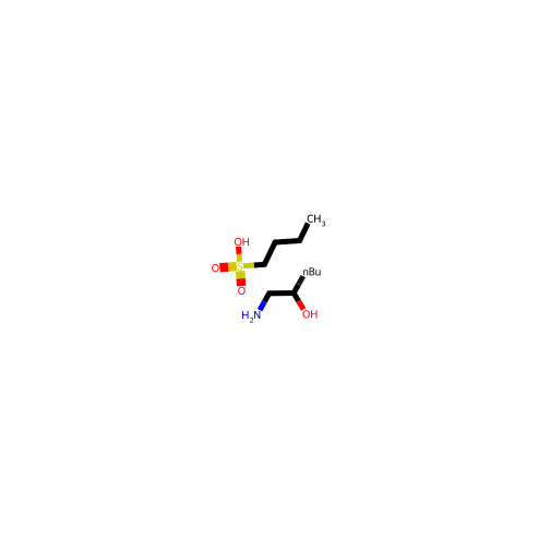 CCCCC(O)CN.CCCCS(=O)(=O)O